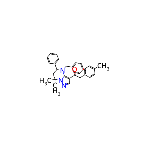 Cc1ccc(CC(=O)c2cnn3c2N(Cc2ccccc2)C(c2ccccc2)CC3(C)C)cc1